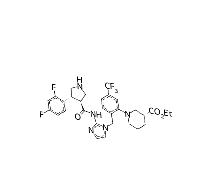 CCOC(=O)[C@@H]1CCCN(c2cc(C(F)(F)F)ccc2Cn2ccnc2NC(=O)[C@@H]2CNC[C@H]2c2ccc(F)cc2F)C1